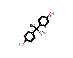 CCC(OC)(c1ccc(O)cc1)c1ccc(O)cc1